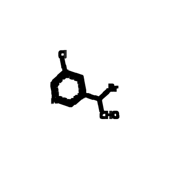 O=CC(Br)c1cncc(Cl)c1